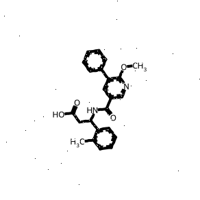 COc1ncc(C(=O)NC(CC(=O)O)c2ccccc2C)cc1-c1ccccc1